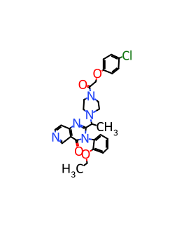 CCOc1ccccc1-n1c(C(C)N2CCN(C(=O)COc3ccc(Cl)cc3)CC2)nc2ccncc2c1=O